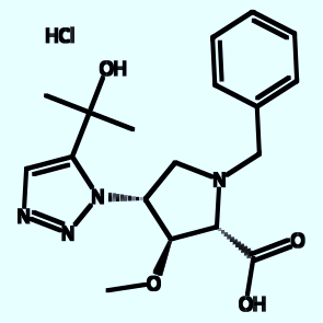 CO[C@@H]1[C@@H](C(=O)O)N(Cc2ccccc2)C[C@H]1n1nncc1C(C)(C)O.Cl